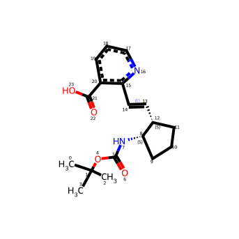 CC(C)(C)OC(=O)N[C@H]1CCC[C@H]1/C=C/c1ncccc1C(=O)O